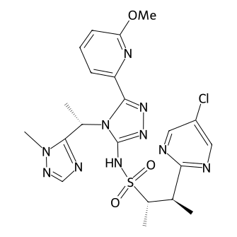 COc1cccc(-c2nnc(NS(=O)(=O)[C@@H](C)[C@H](C)c3ncc(Cl)cn3)n2[C@@H](C)c2ncnn2C)n1